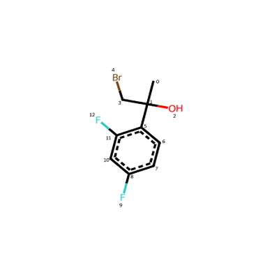 CC(O)(CBr)c1ccc(F)cc1F